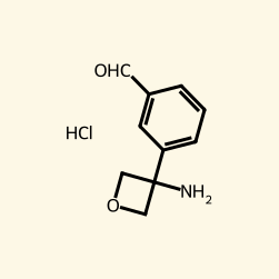 Cl.NC1(c2cccc(C=O)c2)COC1